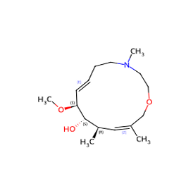 CO[C@H]1/C=C/CCN(C)CCOC/C(C)=C\[C@@H](C)[C@@H]1O